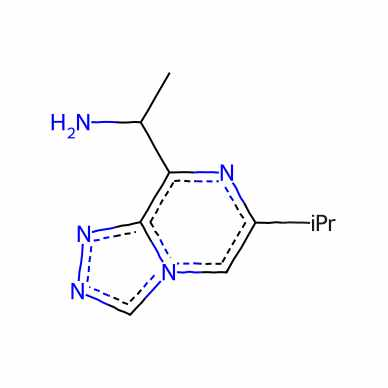 CC(C)c1cn2cnnc2c(C(C)N)n1